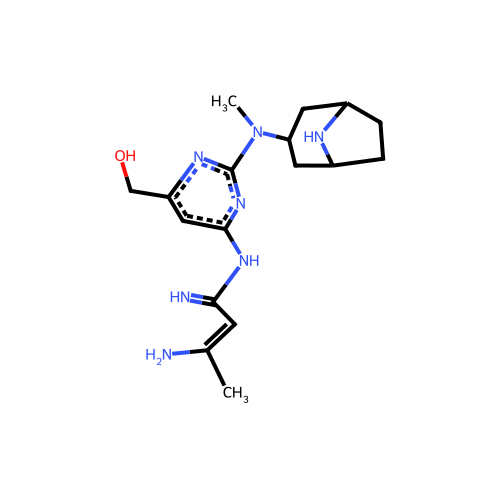 C/C(N)=C/C(=N)Nc1cc(CO)nc(N(C)C2CC3CCC(C2)N3)n1